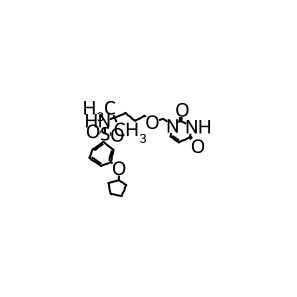 CC(C)(CCCOCn1ccc(=O)[nH]c1=O)NS(=O)(=O)c1cccc(OC2CCCC2)c1